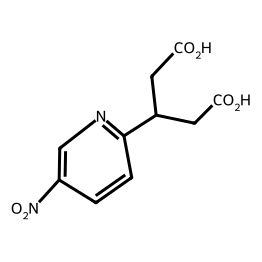 O=C(O)CC(CC(=O)O)c1ccc([N+](=O)[O-])cn1